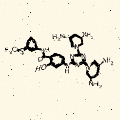 N[C@@H]1C[C@H](N)CN(c2nc(Nc3ccc(C(=O)Nc4cccc(SC(F)(F)F)c4)c(O)c3)nc(N3C[C@H](N)C[C@H](N)C3)n2)C1